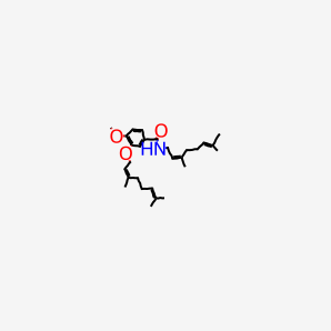 COc1ccc(C(=O)NCC=C(C)CCC=C(C)C)cc1OCC=C(C)CCC=C(C)C